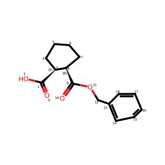 O=C(O)[C@H]1CCCC[C@H]1C(=O)OCc1ccccc1